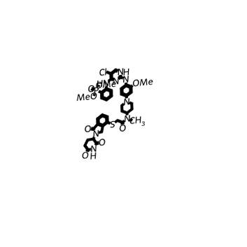 COc1cc(N2CCC(N(C)C(=O)CSc3cccc4c3CN(C3CCC(=O)NC3=O)C4=O)CC2)ccc1Nc1ncc(Cl)c(Nc2ccccc2P(=O)(OC)OC)n1